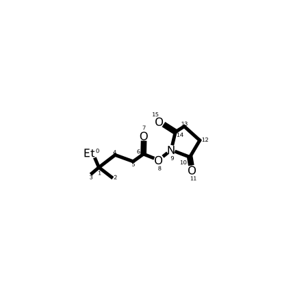 CCC(C)(C)CCC(=O)ON1C(=O)CCC1=O